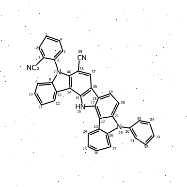 N#Cc1ccccc1-n1c2ccccc2c2c3[nH]c4c(ccc5c4c4ccccc4n5-c4ccccc4)c3cc(C#N)c21